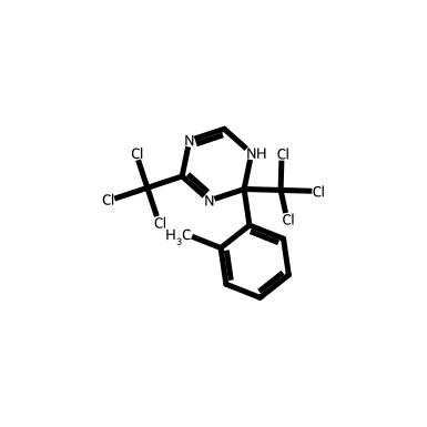 Cc1ccccc1C1(C(Cl)(Cl)Cl)N=C(C(Cl)(Cl)Cl)N=CN1